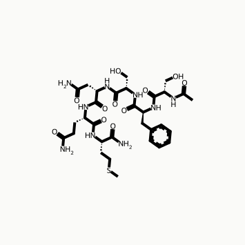 CSCC[C@H](NC(=O)[C@H](CCC(N)=O)NC(=O)[C@H](CC(N)=O)NC(=O)[C@H](CO)NC(=O)[C@H](Cc1ccccc1)NC(=O)[C@H](CO)NC(C)=O)C(N)=O